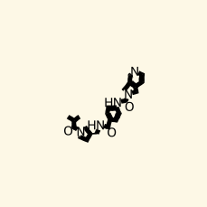 CC(C)C(=O)N1CC[C@H](CNC(=O)c2ccc(NC(=O)N3Cc4ccncc4C3)cc2)C1